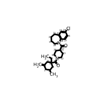 C=C1CC(C)CC(CC)(C(=O)N2CCC(C(=O)N3CCCCc4cc(Cl)ccc43)CC2)C1